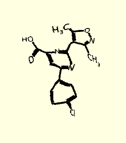 Cc1noc(C)c1-c1nc(C(=O)O)cc(-c2ccc(Cl)cc2)n1